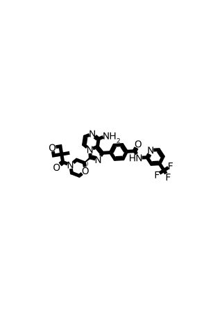 CC1(C(=O)N2CCO[C@H](c3nc(-c4ccc(C(=O)Nc5cc(C(F)(F)F)ccn5)cc4)c4c(N)nccn34)C2)COC1